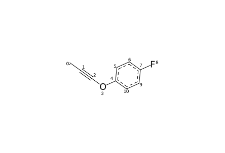 [CH2]C#COc1ccc(F)cc1